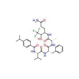 CC(C)c1ccc(C(=O)N[C@H](C(=O)N[C@@H](Cc2ccccc2)C(=O)N[C@@H](C)C(=O)NC(CCC(N)=O)C(O)C(F)(F)F)C(C)C)cc1